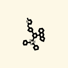 Cc1cccc(Cc2ccc(-c3cc(-c4nc(-c5ccccc5)nc(-c5ccccc5)n4)cc(-c4c5ccccc5cc5ccccc45)c3)cc2)n1